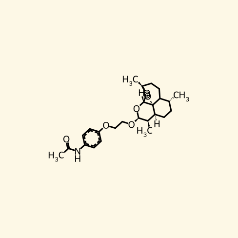 CC(=O)Nc1ccc(OCCO[C@H]2O[C@@H]3O[C@@]4(C)CCC5[C@H](C)CC[C@@H]([C@H]2C)[C@]53OO4)cc1